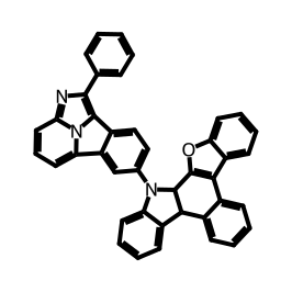 c1ccc(-c2nc3cccc4c5cc(N6c7ccccc7C7c8ccccc8-c8c(oc9ccccc89)C76)ccc5c2n34)cc1